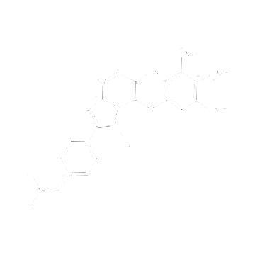 COc1cc(Nc2c(C#N)cnc3cc(-c4ccc(CN(C)C)cc4)[s+]([O-])c23)cc(OC)c1OC